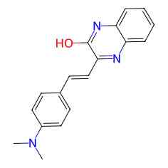 CN(C)c1ccc(/C=C/c2nc3ccccc3nc2O)cc1